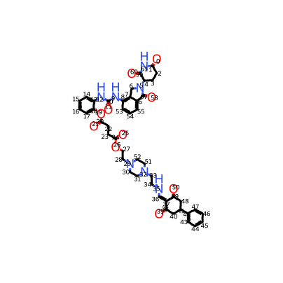 O=C1CCC(N2Cc3c(NC(=O)Nc4ccccc4OC(=O)CCC(=O)OCCN4CCN(CCNC=C5C(=O)CC(c6ccccc6)CC5=O)CC4)cccc3C2=O)C(=O)N1